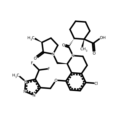 C[C@H]1CCN(C[C@@H]2c3c(OCc4nnn(C)c4C(F)F)ccc(Cl)c3CCN2C(=O)[C@@H]2CCCC[C@]2(C)C(=O)O)C1=O